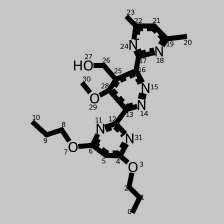 CCCOc1cc(OCCC)nc(-c2nnc(-c3nc(C)cc(C)n3)c(CO)c2OC)n1